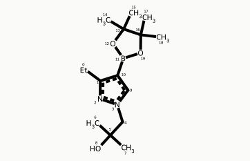 CCc1nn(CC(C)(C)O)cc1B1OC(C)(C)C(C)(C)O1